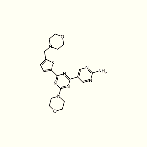 Nc1ncc(-c2nc(-c3ccc(CN4CCOCC4)s3)nc(N3CCOCC3)n2)cn1